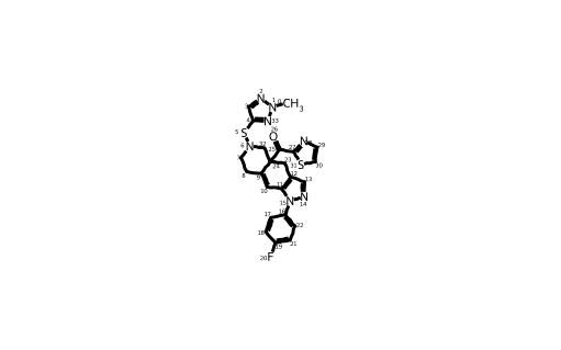 Cn1ncc(SN2CCC3=Cc4c(cnn4-c4ccc(F)cc4)CC3(C(=O)c3nccs3)C2)n1